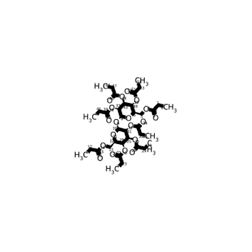 CCC(=O)OC[C@H]1O[C@H](O[C@H]2O[C@H](COC(=O)CC)[C@@H](OC(=O)CC)[C@H](OC(=O)CC)[C@H]2OC(=O)CC)[C@H](OC(=O)CC)[C@@H](OC(=O)CC)[C@@H]1OC(=O)CC